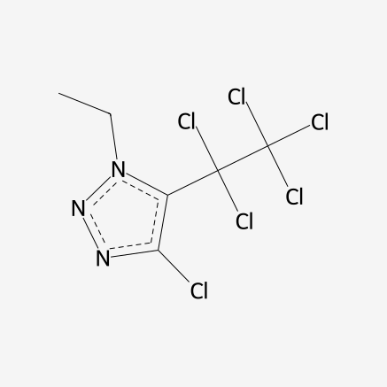 CCn1nnc(Cl)c1C(Cl)(Cl)C(Cl)(Cl)Cl